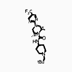 C[C@@H]1CN(c2ncc(C(F)(F)F)cn2)C[C@@H](C)N1C(=O)NC1CCN(CC(C)(C)C)CC1